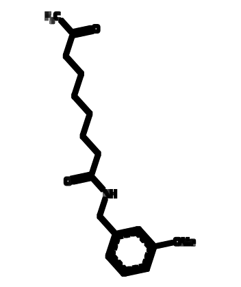 COc1cccc(CNC(=O)CCCCCCC(=O)C(F)(F)F)c1